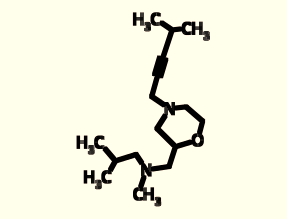 CC(C)C#CCN1CCOC(CN(C)CC(C)C)C1